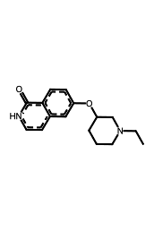 CCN1CCCC(Oc2ccc3c(=O)[nH]ccc3c2)C1